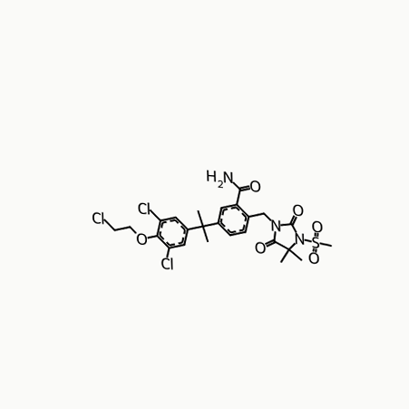 CC(C)(c1cc(Cl)c(OCCCl)c(Cl)c1)c1ccc(CN2C(=O)N(S(C)(=O)=O)C(C)(C)C2=O)c(C(N)=O)c1